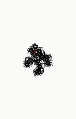 c1ccc(C2(c3ccccc3)c3ccccc3-c3c(-c4nc(-c5cc(-c6ccc7oc8ccccc8c7c6)cc(-c6ccc7oc8ccccc8c7c6)c5)nc(-c5cccc6c5sc5ccccc56)n4)cccc32)cc1